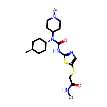 CCNC(=O)CSc1cnc(NC(=O)N(C2CCN(C(C)=O)CC2)[C@H]2CC[C@H](C)CC2)s1